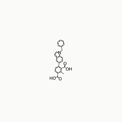 Cc1c(C(=O)O)ccc(-c2ccc3c(ccn3Cc3ccccc3)c2)c1C(=O)O